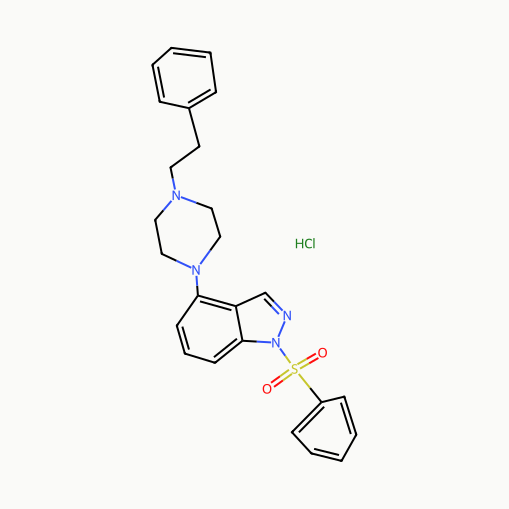 Cl.O=S(=O)(c1ccccc1)n1ncc2c(N3CCN(CCc4ccccc4)CC3)cccc21